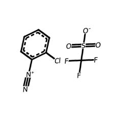 N#[N+]c1ccccc1Cl.O=S(=O)([O-])C(F)(F)F